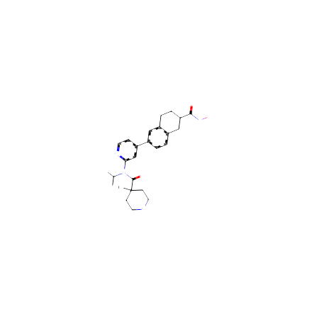 CC(C)N(C(=O)C1(C)CCNCC1)c1cc(-c2ccc3c(c2)CCC(C(=O)NO)C3)ccn1